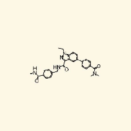 CCn1nc(C(=O)NCc2ccc(C(=O)NC)cc2)c2cc(-c3ccc(C(=O)N(C)C)cc3)ccc21